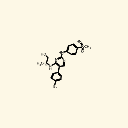 CCc1ccc(-c2cnc(Nc3ccc([S@@](C)(=N)=O)cc3)nc2N[C@H](C)CO)cc1